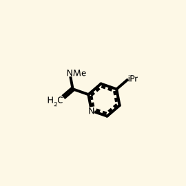 C=C(NC)c1cc(C(C)C)ccn1